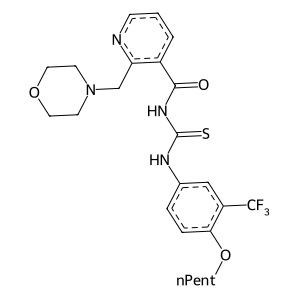 CCCCCOc1ccc(NC(=S)NC(=O)c2cccnc2CN2CCOCC2)cc1C(F)(F)F